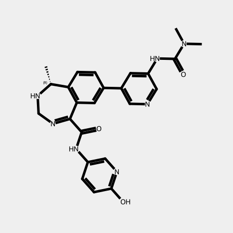 C[C@H]1NCN=C(C(=O)Nc2ccc(O)nc2)c2cc(-c3cncc(NC(=O)N(C)C)c3)ccc21